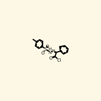 Cc1ccc(S(=O)(=O)NN=C(C(=O)Cl)c2ccccc2)cc1